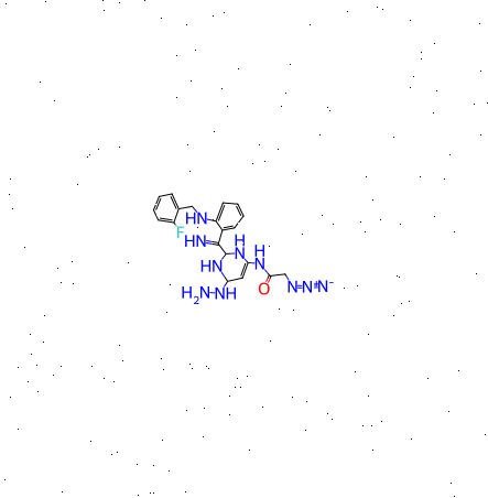 [N-]=[N+]=NCC(=O)NC1=CC(NN)NC(C(=N)c2ccccc2NCc2ccccc2F)N1